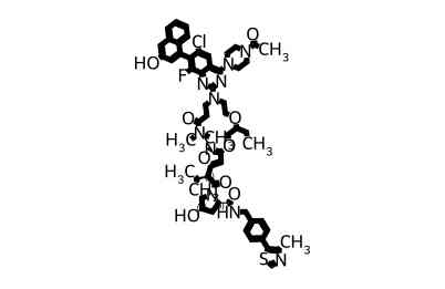 CCC(COc1cc([C@@H](C(=O)N2C[C@H](O)C[C@H]2C(=O)NCc2ccc(-c3scnc3C)cc2)C(C)C)on1)OCCN(CCC(=O)N(C)C)c1nc(N2CCN(C(C)=O)CC2)c2cc(Cl)c(-c3cc(O)cc4ccccc34)c(F)c2n1